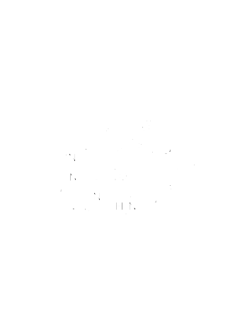 Cc1cc(C(C)N)c2oc(-c3cnn4cccnc34)c(C)c(=O)c2c1